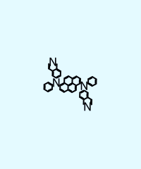 c1ccc(N(c2ccc3cnccc3c2)c2ccc3ccc4c(N(c5ccccc5)c5ccc6cnccc6c5)ccc5ccc2c3c54)cc1